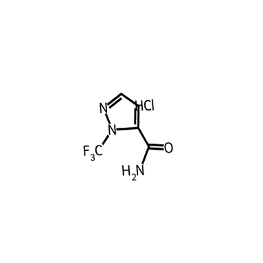 Cl.NC(=O)c1ccnn1C(F)(F)F